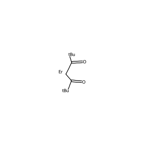 CC(C)(C)C(=O)CC(=O)C(C)(C)C.[Er]